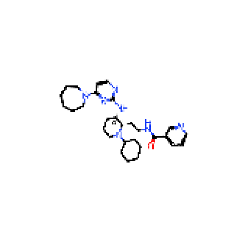 O=C(NCC[C@@H]1[C@@H](Nc2nccc(N3CCCCCC3)n2)CCCN1C1CCCCC1)c1cccnc1